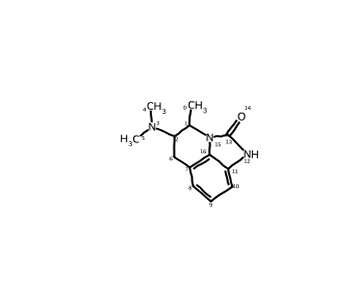 CC1C(N(C)C)Cc2cccc3[nH]c(=O)n1c23